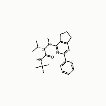 CC(C)[C@@H](C(=O)NC(C)(C)C)N(C)c1nc(-c2ccccn2)nc2c1CCC2